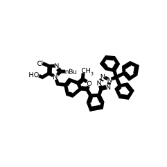 CCCCc1nc(Cl)c(CO)n1Cc1ccc2c(-c3ccccc3-c3nnn(C(c4ccccc4)(c4ccccc4)c4ccccc4)n3)oc(C)c2c1